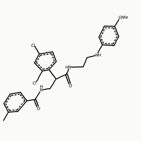 COc1ccc(NCCNC(=O)C(CNC(=O)c2cccc(C)c2)c2ccc(Cl)cc2Cl)cc1